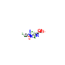 O=C(Nc1ccc(CF)c(F)c1)N1CCC(F)(c2ncc([C@H](O)CO)cc2Cl)CC1